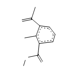 C=C(C)c1cccc(C(=O)OC)c1O